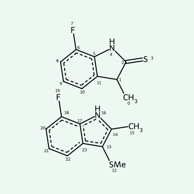 CC1C(=S)Nc2c(F)cccc21.CSc1c(C)[nH]c2c(F)cccc12